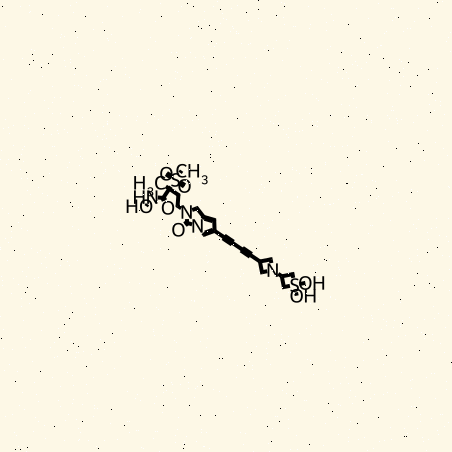 CC(CCN1Cc2cc(C#CC#CC3CN(C4CS(O)(O)C4)C3)cn2C1=O)(C(=O)NO)S(C)(=O)=O